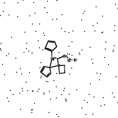 CC[Si]1([C]2([Hf+2][C]3=CC=CC3)C=CC=C2)CCC1.[Cl-].[Cl-]